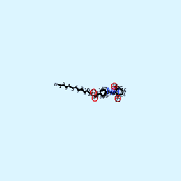 CCCCCCCCCCCCOC(=O)c1ccc(NC=C2C(=O)CCCC2=O)cc1